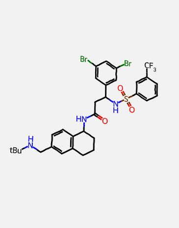 CC(C)(C)NCc1ccc2c(c1)CCCC2NC(=O)CC(NS(=O)(=O)c1cccc(C(F)(F)F)c1)c1cc(Br)cc(Br)c1